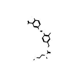 CNCCN(C)C(=O)OCc1ccc(N=Nc2ccc(O)c(C(=O)O)c2)c(C)c1